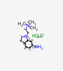 C[N+](C)(C)CCN1CCc2ccc(N)cc21.Cl.[Cl-]